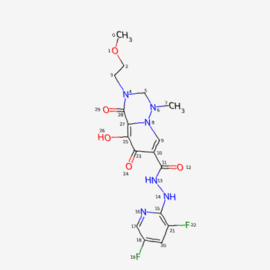 COCCN1CN(C)n2cc(C(=O)NNc3ncc(F)cc3F)c(=O)c(O)c2C1=O